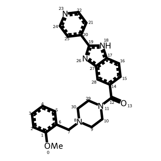 COc1ccccc1CN1CCN(C(=O)c2ccc3[nH]c(-c4ccncc4)nc3c2)CC1